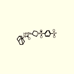 CS(=O)(=O)c1ccc(S(=O)(=O)N2CCC(NC(=O)NC34CC5CC(CC(C5)C3)C4)CC2)cc1